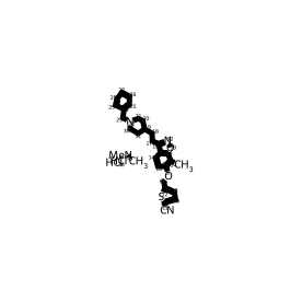 CNC.Cc1c(OCc2ccc(C#N)s2)ccc2c(CCC3CCN(Cc4ccccc4)CC3)noc12.Cl.Cl